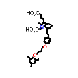 Cc1cc(C)c(OC/C=C/COc2ccc(C=Cc3cccc4c(CCCC(=O)O)c(C)n(CC(=O)O)c34)cc2)c(C)c1